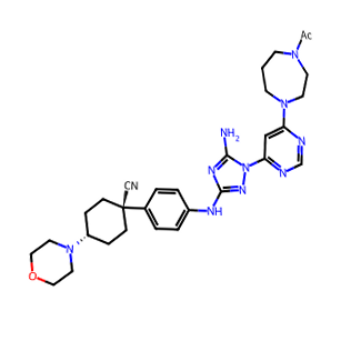 CC(=O)N1CCCN(c2cc(-n3nc(Nc4ccc([C@]5(C#N)CC[C@H](N6CCOCC6)CC5)cc4)nc3N)ncn2)CC1